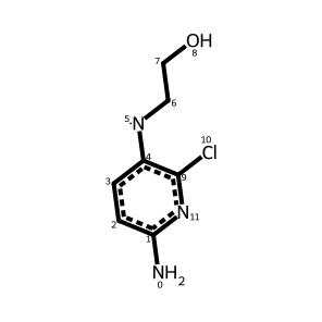 Nc1ccc([N]CCO)c(Cl)n1